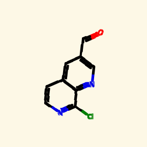 O=Cc1cnc2c(Cl)nccc2c1